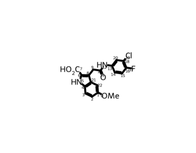 COc1ccc2[nH]c(C(=O)O)c(CC(=O)Nc3ccc(F)c(Cl)c3)c2c1